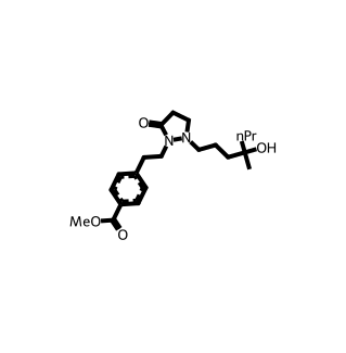 CCCC(C)(O)CCCN1CCC(=O)N1CCc1ccc(C(=O)OC)cc1